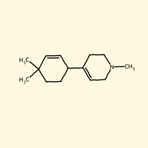 CN1CC=C(C2C=CC(C)(C)CC2)CC1